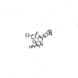 CCCn1c(C)nc2cc(N3Cc4cnn(C)c4C3)nc(-c3ccc(Cl)cc3F)c2c1=O